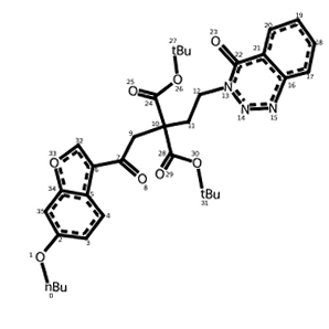 CCCCOc1ccc2c(C(=O)CC(CCn3nnc4ccccc4c3=O)(C(=O)OC(C)(C)C)C(=O)OC(C)(C)C)coc2c1